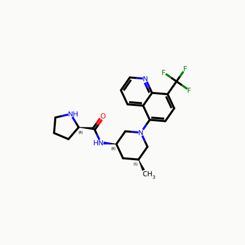 C[C@H]1C[C@@H](NC(=O)[C@H]2CCCN2)CN(c2ccc(C(F)(F)F)c3ncccc23)C1